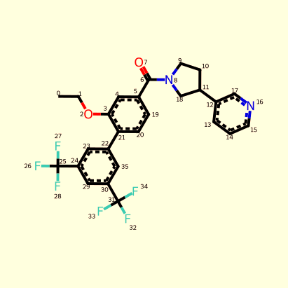 CCOc1cc(C(=O)N2CCC(c3cccnc3)C2)ccc1-c1cc(C(F)(F)F)cc(C(F)(F)F)c1